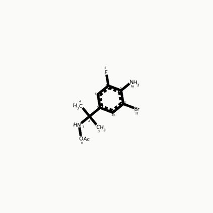 CC(=O)ONC(C)(C)c1cc(F)c(N)c(Br)c1